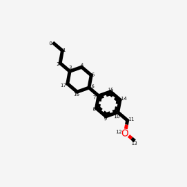 CCCC1CCC(c2ccc(COC)cc2)CC1